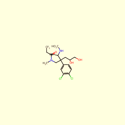 CN(CC(CC(O)CO)(c1ccc(Cl)c(Cl)c1)C(NC(=O)O)C(C)(C)C)C(=O)CC(F)(F)F